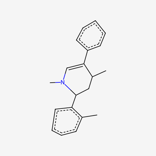 Cc1ccccc1C1CC(C)C(c2ccccc2)=CN1C